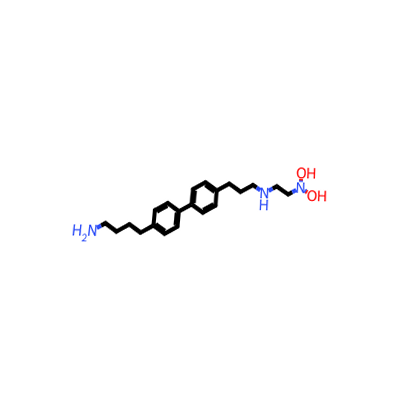 NCCCCc1ccc(-c2ccc(CCCNCCN(O)O)cc2)cc1